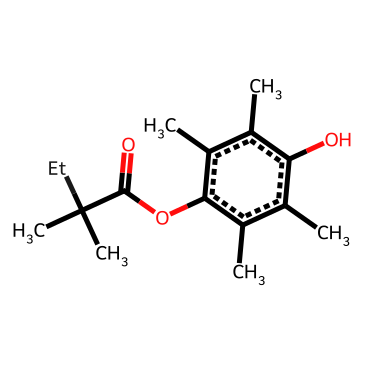 CCC(C)(C)C(=O)Oc1c(C)c(C)c(O)c(C)c1C